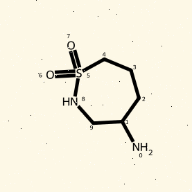 NC1CCCS(=O)(=O)NC1